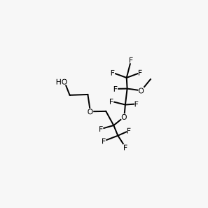 COC(F)(C(F)(F)F)C(F)(F)OC(F)(COCCO)C(F)(F)F